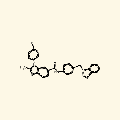 Cc1nc2ccc(C(=O)Nc3ccc(Cn4ncc5ccccc54)cc3)cc2n1-c1ccc(F)cc1